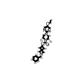 CCOc1cnc(N2C[C@@H](C)N(C(=O)OC3CC4(C3)CN(Cc3ccccc3)C4)[C@@H](C)C2)nc1